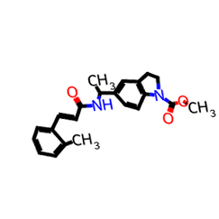 COC(=O)N1CCc2cc(C(C)NC(=O)C=Cc3ccccc3C)ccc21